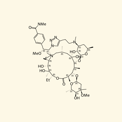 CC[C@H]1OC(=O)[C@H](C)[C@@H](O[C@H]2C[C@@](C)(OC)[C@@H](O)[C@H](C)O2)[C@H](C)[C@@H](O[C@@H]2O[C@H](C)C[C@H](N(C)CCc3cn([C@H](CF)[C@H](OC)c4ccc(C(=O)NC)cc4)nn3)[C@H]2O)[C@](C)(O)C[C@@H](C)CN(C)[C@H](C)[C@@H](O)[C@]1(C)O